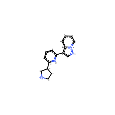 c1cc(-c2cnn3ccccc23)nc(C2CCNC2)c1